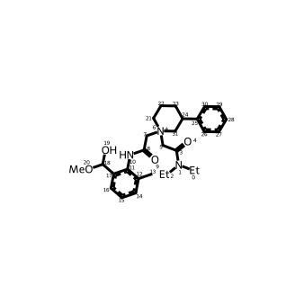 CCN(CC)C(=O)C[N+]1(CC(=O)Nc2c(C)cccc2C(O)OC)CCCC(c2ccccc2)C1